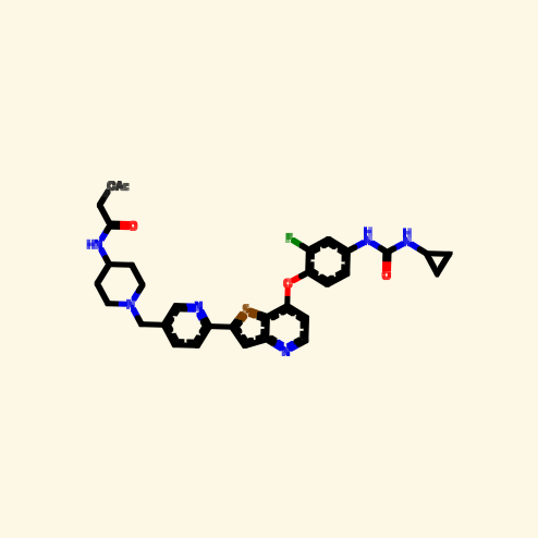 CC(=O)OCC(=O)NC1CCN(Cc2ccc(-c3cc4nccc(Oc5ccc(NC(=O)NC6CC6)cc5F)c4s3)nc2)CC1